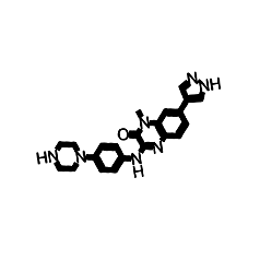 Cn1c(=O)c(Nc2ccc(N3CCNCC3)cc2)nc2ccc(-c3cn[nH]c3)cc21